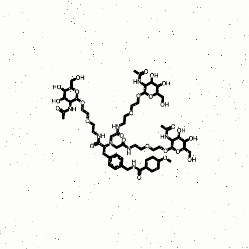 COC1CCC(C(=O)NCc2ccc(CC(C(=O)NCCOCCOC3OC(CO)C(O)C(O)C3NC(C)=O)N(CC(=O)NCCOCCOC3OC(CO)C(O)C(O)C3NC(C)=O)CC(=O)NCCOCCOC3OC(CO)C(O)C(O)C3NC(C)=O)cc2)CC1